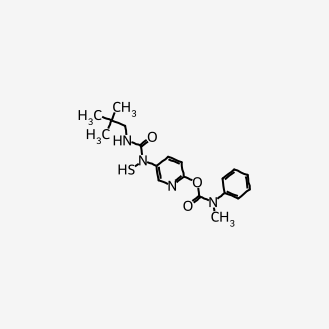 CN(C(=O)Oc1ccc(N(S)C(=O)NCC(C)(C)C)cn1)c1ccccc1